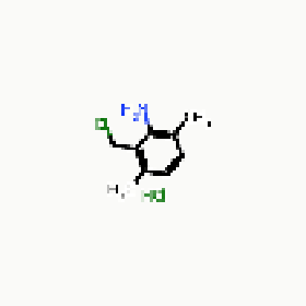 Cc1ccc(C)c(CCl)c1N.Cl